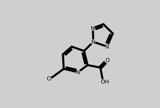 O=C(O)c1nc(Cl)ccc1-n1nccn1